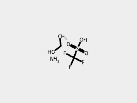 CCO.N.O=S(=O)(O)C(F)(F)F